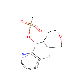 CS(=O)(=O)OC(c1ncccc1F)C1CCOCC1